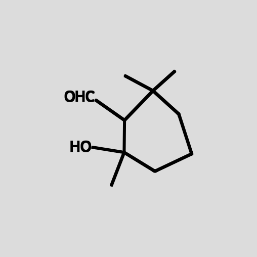 CC1(C)CCCC(C)(O)C1C=O